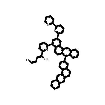 CC/C=C\C=C(/C)c1cccc(-c2cc(-c3cccc(-c4ccccn4)n3)cc3c2ccc2c(-c4ccc5c(ccc6cc7ccccc7cc65)c4)c4ccccc4cc23)n1